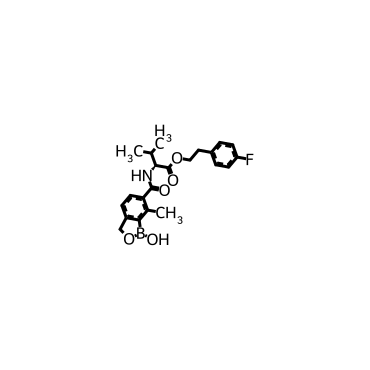 Cc1c(C(=O)N[C@H](C(=O)OCCc2ccc(F)cc2)C(C)C)ccc2c1B(O)OC2